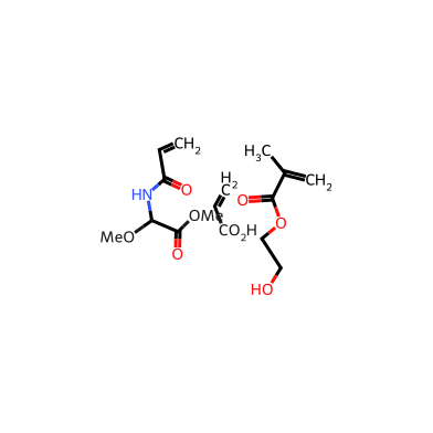 C=C(C)C(=O)OCCO.C=CC(=O)NC(OC)C(=O)OC.C=CC(=O)O